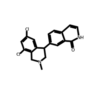 CN1Cc2c(Cl)cc(Cl)cc2C(c2ccc3cc[nH]c(=O)c3c2)C1